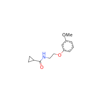 COc1cccc(OCCNC(=O)C2CC2)c1